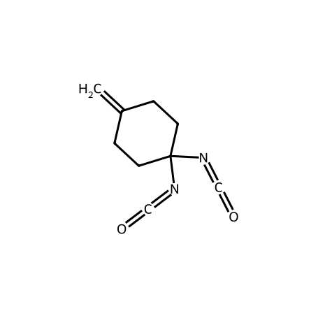 C=C1CCC(N=C=O)(N=C=O)CC1